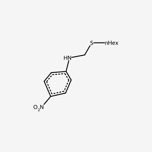 CCCCCCSCNc1ccc([N+](=O)[O-])cc1